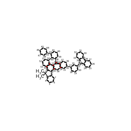 CC1(C)c2ccccc2-c2cc(N(c3ccc(-c4cccc(-n5c6ccccc6c6ccccc65)c4)cc3)c3cccc(-c4ccccc4)c3-c3ccccc3-c3ccccc3)ccc21